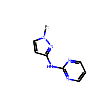 CCn1ccc(Nc2ncccn2)n1